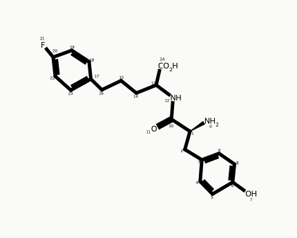 N[C@@H](Cc1ccc(O)cc1)C(=O)NC(CCCc1ccc(F)cc1)C(=O)O